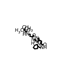 CC(C)(C)OC(=O)NCCC(=O)Nc1ncc2cc3n(c2n1)C1(CCCCC1)CNC3=O